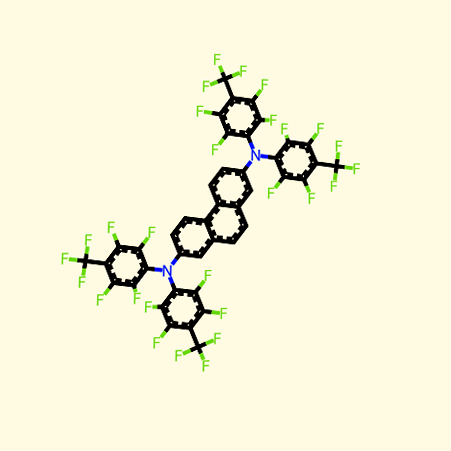 Fc1c(F)c(C(F)(F)F)c(F)c(F)c1N(c1ccc2c(ccc3cc(N(c4c(F)c(F)c(C(F)(F)F)c(F)c4F)c4c(F)c(F)c(C(F)(F)F)c(F)c4F)ccc32)c1)c1c(F)c(F)c(C(F)(F)F)c(F)c1F